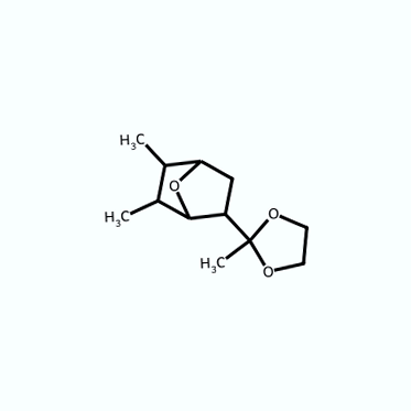 CC1C2CC(C3(C)OCCO3)C(O2)C1C